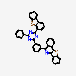 c1ccc(-c2nc(-c3cccc(-c4nc5c6ccccc6sc5c5ccccc45)c3)nc(-c3cccc4c3sc3ccccc34)n2)cc1